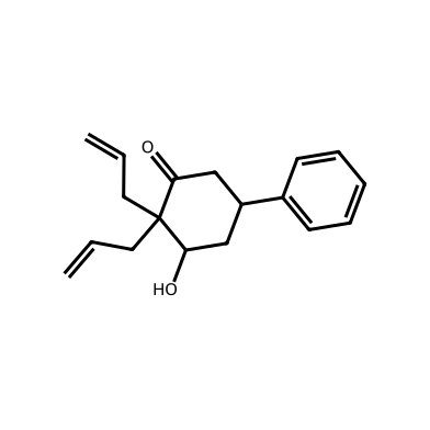 C=CCC1(CC=C)C(=O)CC(c2ccccc2)CC1O